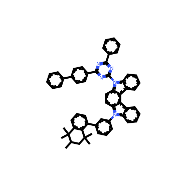 CC1CC(C)(C)c2c(-c3cccc(-n4c5ccccc5c5c6c7ccccc7n(-c7nc(-c8ccccc8)nc(-c8ccc(-c9ccccc9)cc8)n7)c6ccc54)c3)cccc2C1(C)C